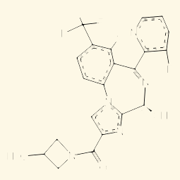 CC1CN(C(=O)c2cn3c(n2)[C@H](C)N=C(c2ncccc2F)c2c-3ccc(C(F)(F)F)c2Cl)C1